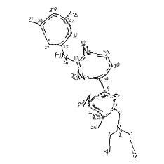 CCN(CC)Cc1sc(-c2ccnc(Nc3cc(C)cc(C)c3)n2)nc1C